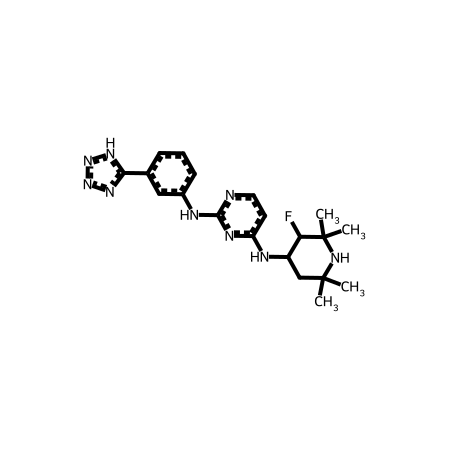 CC1(C)CC(Nc2ccnc(Nc3cccc(-c4nnn[nH]4)c3)n2)C(F)C(C)(C)N1